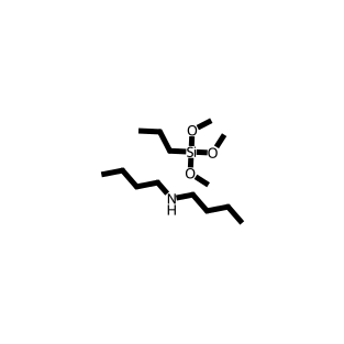 CCCCNCCCC.CCC[Si](OC)(OC)OC